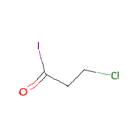 O=C(I)CCCl